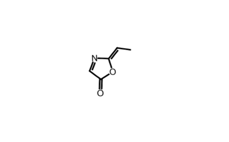 CC=C1N=CC(=O)O1